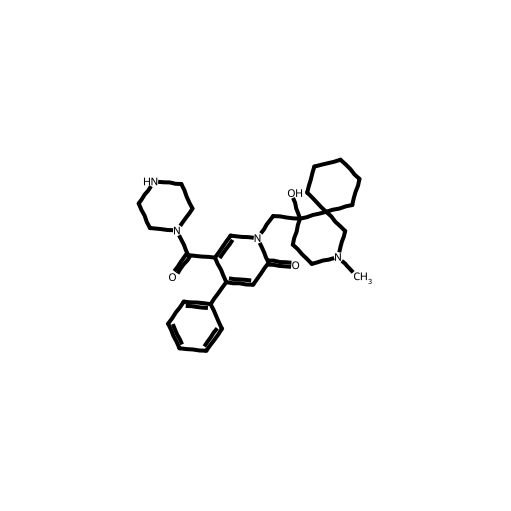 CN1CCC(O)(Cn2cc(C(=O)N3CCNCC3)c(-c3ccccc3)cc2=O)C2(CCCCC2)C1